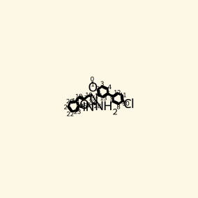 COc1ccc(-c2ccc(Cl)cc2)cc1N(Cc1cc2ccccc2o1)C(=N)N